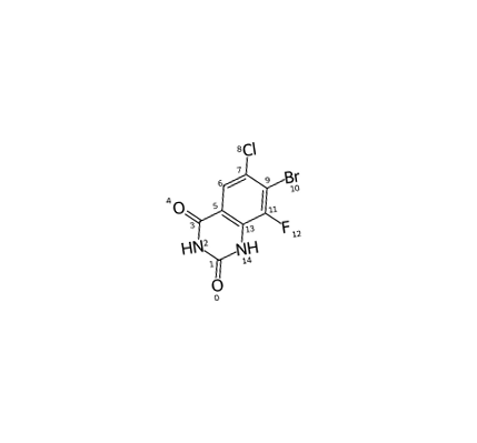 O=c1[nH]c(=O)c2cc(Cl)c(Br)c(F)c2[nH]1